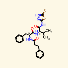 CC(C)[C@H](NC(=O)[C@H](Cc1ccccc1)NC(=O)CCc1ccccc1)C(=O)Nc1n[nH]c(=S)s1